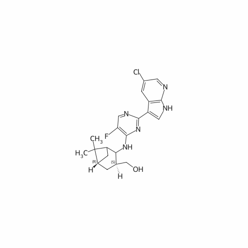 CC1(C)C2C[C@@H]1C[C@H](CO)C2Nc1nc(-c2c[nH]c3ncc(Cl)cc23)ncc1F